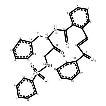 O=C(C=Cc1ccccc1C(=O)N[C@@H](Cc1ccccc1)C(=O)CNS(=O)(=O)c1ccccc1)c1ccccc1